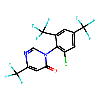 O=c1cc(C(F)(F)F)ncn1-c1c(Cl)cc(C(F)(F)F)cc1C(F)(F)F